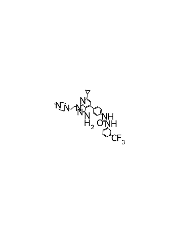 CN1CCN(CCn2nc(N)c3c(-c4ccc(NC(=O)Nc5cccc(C(F)(F)F)c5)cc4)cc(C4CC4)nc32)CC1